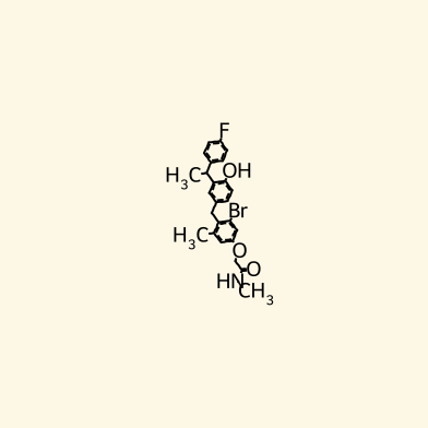 CNC(=O)COc1cc(C)c(Cc2ccc(O)c(C(C)c3ccc(F)cc3)c2)c(Br)c1